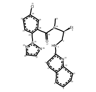 CC[C@@H](CNc1ccc2ccccc2n1)N(C)C(=O)c1cc(Cl)ccc1-n1nccn1